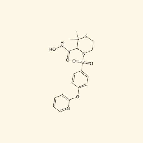 CC1(C)SCCN(S(=O)(=O)c2ccc(Oc3ccccn3)cc2)C1C(=O)NO